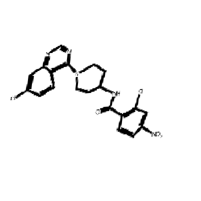 O=C(NC1CCN(c2ncnc3cc(Cl)ccc23)CC1)c1ccc([N+](=O)[O-])cc1Cl